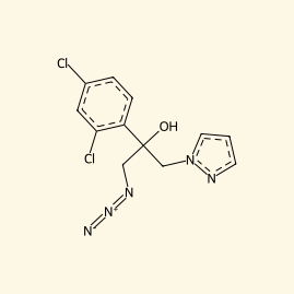 [N-]=[N+]=NCC(O)(Cn1cccn1)c1ccc(Cl)cc1Cl